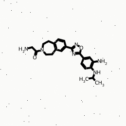 CC(C)Nc1ccc(-c2nc(-c3ccc4c(c3)CCN(C(=O)CN)CC4)no2)cc1N